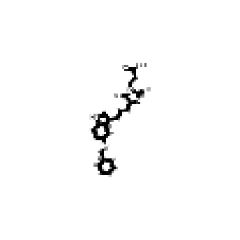 O=C(O)CCN1C(=O)C(=CC=Cc2c[nH]c3ccc(OCc4ccccc4)cc23)SC1=S